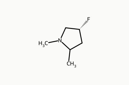 CC1C[C@@H](F)CN1C